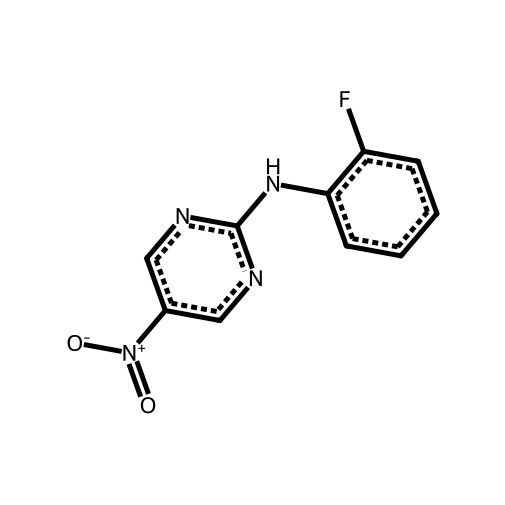 O=[N+]([O-])c1cnc(Nc2ccccc2F)nc1